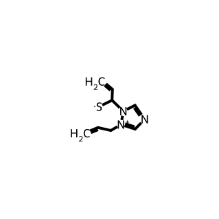 C=CC[n+]1cncn1C([S])C=C